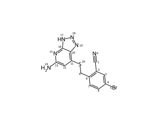 N#Cc1cc(Br)ccc1CSc1cc(N)nc2[nH]nnc12